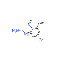 C=Cc1cc(Br)c/c(=N/CN)n1N=C